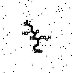 CSCCC(NC(=O)[C@H](O)C[Se]C)C(=O)O